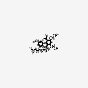 COCOc1cc(OCOC)c(C(C)C)cc1-c1nnc(SCCCN(C)C)n1-c1ccc(OC)cc1